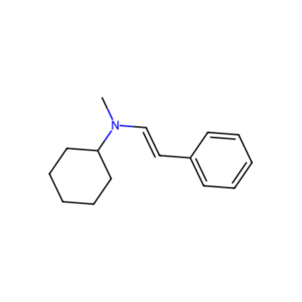 CN(C=Cc1ccccc1)C1CCCCC1